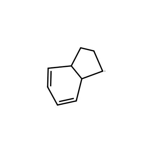 [CH]1CCC2C=CC=CC12